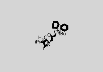 Cc1c(C(C)C)c(I)nn1CC(=O)CO[Si](c1ccccc1)(c1ccccc1)C(C)(C)C